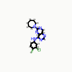 Fc1ccc(Nc2ncnc3cnc(N4CCCCCC4)nc23)cc1Cl